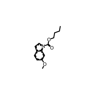 CCCCOC(=O)n1ccc2ccc(OC)cc21